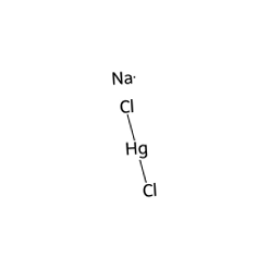 [Cl][Hg][Cl].[Na]